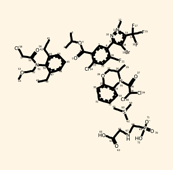 CC(C)OC(=O)c1cc(-c2nn(C)c(C(F)(F)F)c2Br)c(F)cc1Cl.CC1COc2ccccc2N1C(=O)C(Cl)Cl.CCc1cccc(CC)c1N(COC)C(=O)CCl.C[S+](C)C.O=C(O)CNCP(=O)([O-])O